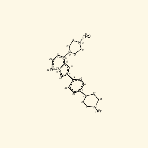 CC(C)N1CCC(c2ccc(-c3cc4c(N5CCN(C=O)CC5)ccnn4c3)cc2)CC1